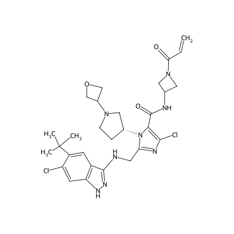 C=CC(=O)N1CC(NC(=O)c2c(Cl)nc(CNc3n[nH]c4cc(Cl)c(C(C)(C)C)cc34)n2[C@@H]2CCN(C3COC3)C2)C1